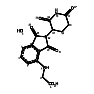 Cl.O=C(O)CNc1cccc2c1C(=O)N(C1CCC(=O)NC1=O)C2=O